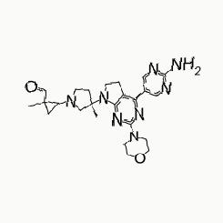 CC1(C=O)CC1N1CC[C@](C)(N2CCc3c(-c4cnc(N)nc4)nc(N4CCOCC4)nc32)C1